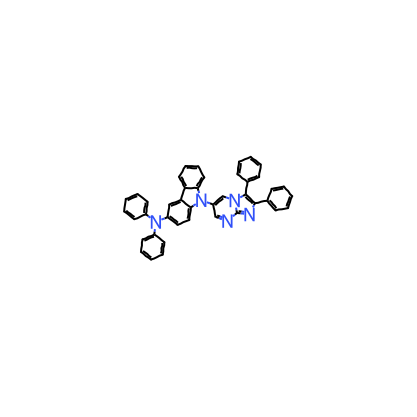 c1ccc(-c2nc3ncc(-n4c5ccccc5c5cc(N(c6ccccc6)c6ccccc6)ccc54)cn3c2-c2ccccc2)cc1